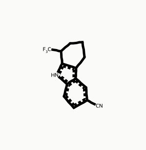 N#Cc1ccc2[nH]c3c(c2c1)CCCC3C(F)(F)F